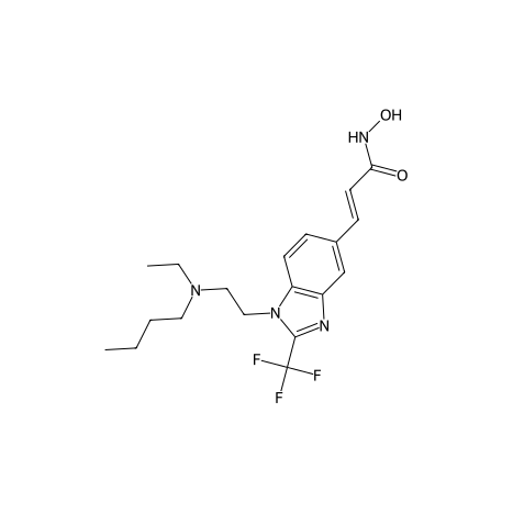 CCCCN(CC)CCn1c(C(F)(F)F)nc2cc(/C=C/C(=O)NO)ccc21